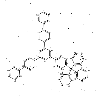 c1ccc(-c2ccc(-c3nc(-c4ccc(-c5cccnc5)cc4)cc(-c4ccc5c(c4)-c4ccccc4C5(c4ccccc4)c4ccccc4)n3)cc2)cc1